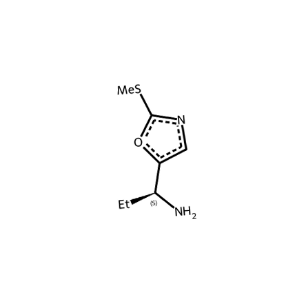 CC[C@H](N)c1cnc(SC)o1